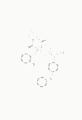 CC(C)CC1NC(=O)C2(CCN(Cc3ccc(Oc4ccccc4)cc3)CC2)N(Cc2ccccc2F)C1=O.Cl